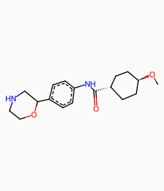 CO[C@H]1CC[C@H](C(=O)Nc2ccc(C3CNCCO3)cc2)CC1